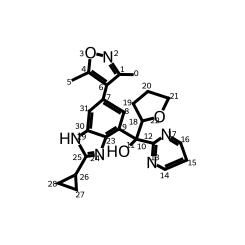 Cc1noc(C)c1-c1cc(C(O)(c2ncccn2)C2CCCO2)c2nc(C3CC3)[nH]c2c1